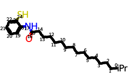 CC(C)CCCCCCCCCCCCCCC(=O)Nc1ccccc1S